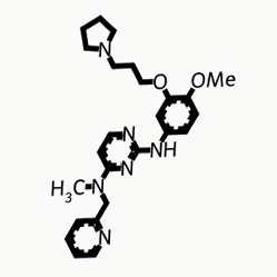 COc1ccc(Nc2nccc(N(C)Cc3ccccn3)n2)cc1OCCCN1CCCC1